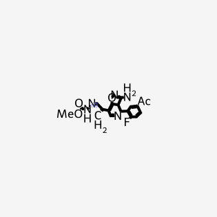 C=C(/C=N\NC(=O)OC)C1=C2ON=C(N)C2C(c2cc(C(C)=O)ccc2F)N=C1